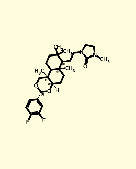 CN1CCN(CC[C@@H]2C(C)(C)CCC3[C@]4(C)CO[C@@H](c5ccc(F)c(F)c5)O[C@@H]4CC[C@]32C)C1=O